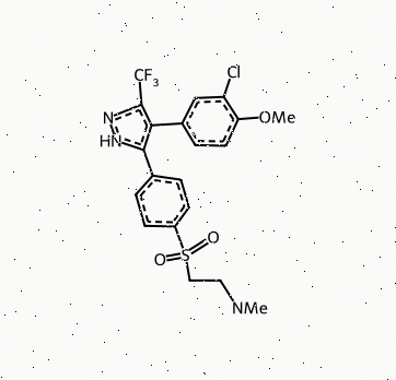 CNCCS(=O)(=O)c1ccc(-c2[nH]nc(C(F)(F)F)c2-c2ccc(OC)c(Cl)c2)cc1